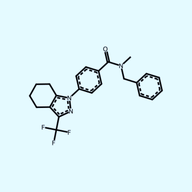 CN(Cc1ccccc1)C(=O)c1ccc(-n2nc(C(F)(F)F)c3c2CCCC3)cc1